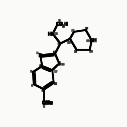 COc1ccc2nc(C(NC(=O)O)C3CCNCC3)sc2c1